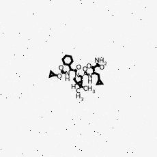 CC1(C)C2[C@@H](C(=O)NC(CC3CC3)C(=O)C(N)=O)N(C(=O)[C@@H](NC(=O)OC3CC3)C3CCCCC3)C[C@H]21